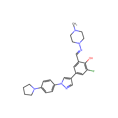 CN1CCN(N=Cc2cc(-c3cnn(-c4ccc(N5CCCC5)cc4)c3)cc(F)c2O)CC1